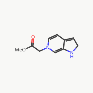 COC(=O)CN1C=CC2=CCNC2=C1